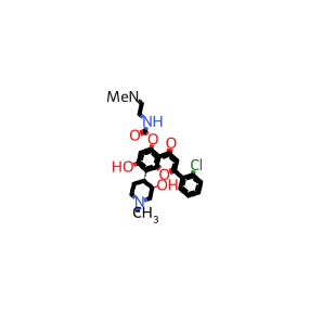 CNCCNC(=O)Oc1cc(O)c([C@H]2CCN(C)C[C@H]2O)c2oc(-c3ccccc3Cl)cc(=O)c12